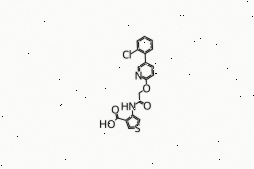 O=C(COc1ccc(-c2ccccc2Cl)cn1)Nc1cscc1C(=O)O